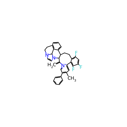 C=C1C2C(CCc3c(F)cc(F)c(F)c3-c3cc(C)c(-c4ccccc4)c[n+]31)c1cccc3c1C1N(C=CN21)CC3